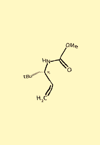 C=C[C@@H](NC(=O)OC)C(C)(C)C